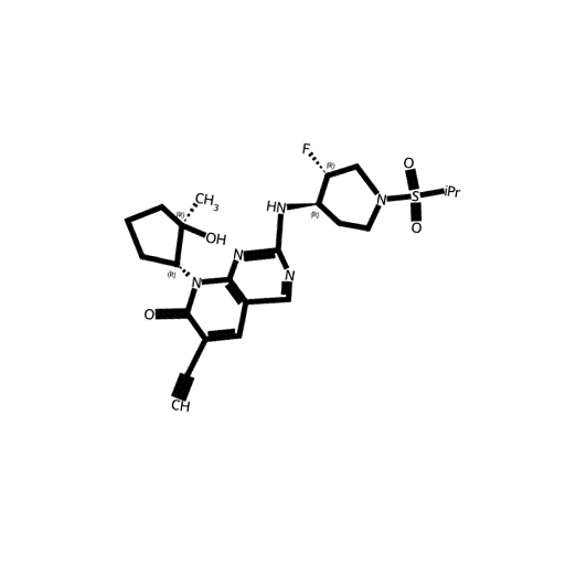 C#Cc1cc2cnc(N[C@@H]3CCN(S(=O)(=O)C(C)C)C[C@H]3F)nc2n([C@@H]2CCC[C@@]2(C)O)c1=O